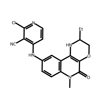 CCC1COc2c(c3cc(Nc4ccnc(Cl)c4C#N)ccc3n(C)c2=O)N1